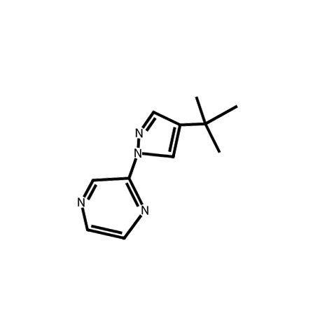 CC(C)(C)c1cnn(-c2cnccn2)c1